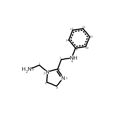 NCN1CCN=C1CNc1ccccc1